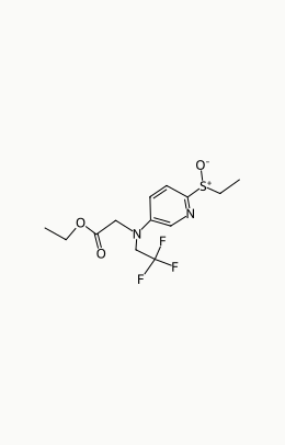 CCOC(=O)CN(CC(F)(F)F)c1ccc([S+]([O-])CC)nc1